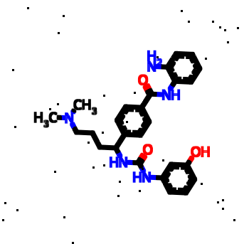 CN(C)CCCC(NC(=O)Nc1cccc(O)c1)c1ccc(C(=O)Nc2ccccc2N)cc1